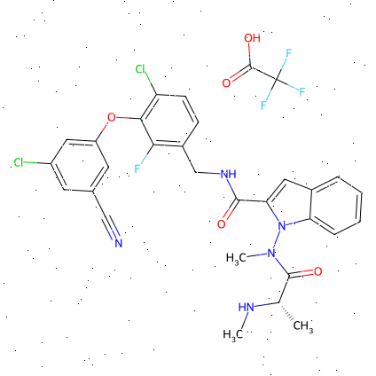 CN[C@@H](C)C(=O)N(C)n1c(C(=O)NCc2ccc(Cl)c(Oc3cc(Cl)cc(C#N)c3)c2F)cc2ccccc21.O=C(O)C(F)(F)F